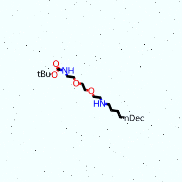 CCCCCCCCCCCCCCNCCOCCOCCNC(=O)OC(C)(C)C